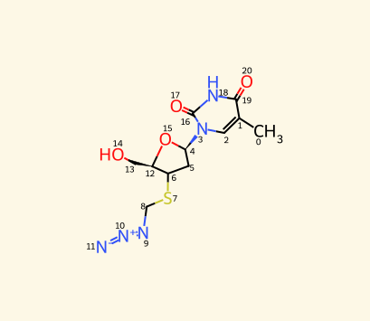 Cc1cn([C@H]2CC(SCN=[N+]=[N-])[C@@H](CO)O2)c(=O)[nH]c1=O